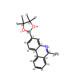 CC(C)c1nc2cc(B3OC(C)(C)C(C)(C)O3)ccc2c2ccccc12